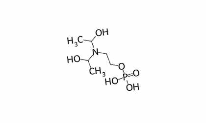 CC(O)N(CCOP(=O)(O)O)C(C)O